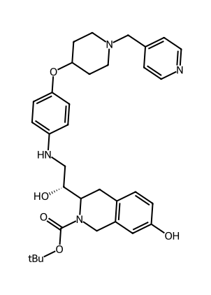 CC(C)(C)OC(=O)N1Cc2cc(O)ccc2CC1[C@H](O)CNc1ccc(OC2CCN(Cc3ccncc3)CC2)cc1